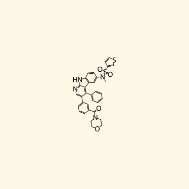 CN(c1ccc2[nH]c3ncc(-c4cccc(C(=O)N5CCOCC5)c4)c(-c4ccccc4)c3c2c1)S(=O)(=O)c1ccsc1